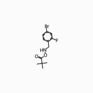 CC(C)(C)C(=O)ONCc1ccc(Br)cc1F